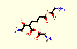 NCC(=O)OC(=O)CCCC(C(=O)CN)C(=O)OC(=O)CN